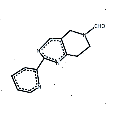 O=CN1CCc2nc(-c3ccccn3)ncc2C1